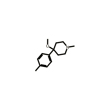 COC1(c2ccc(C)cc2)CCN(C)CC1